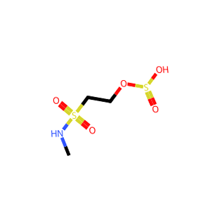 CNS(=O)(=O)CCOS(=O)O